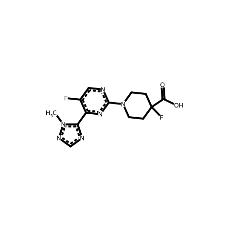 Cn1ncnc1-c1nc(N2CCC(F)(C(=O)O)CC2)ncc1F